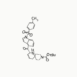 Cc1ccc(S(=O)(=O)n2ccc3c(C(=O)C4C=CCC5(CCN(C(=O)OC(C)(C)C)CC5)N4)cccc32)cc1